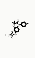 CC1(C)Oc2cc(NS(N)(=O)=O)ccc2N(c2ccc(F)cc2)C1=O